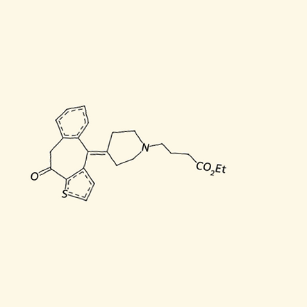 CCOC(=O)CCCN1CCC(=C2c3ccccc3CC(=O)c3sccc32)CC1